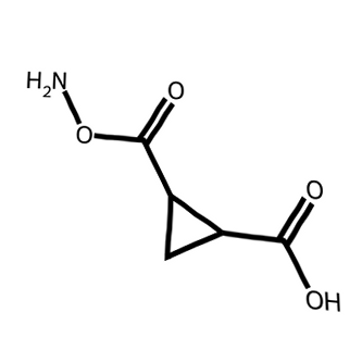 NOC(=O)C1CC1C(=O)O